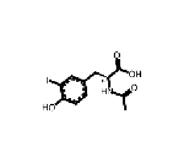 CC(=O)N[C@@H](Cc1ccc(O)c(I)c1)C(=O)O